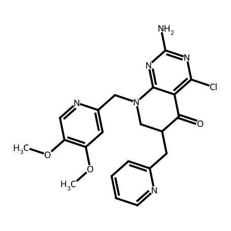 COc1cnc(CN2CC(Cc3ccccn3)C(=O)c3c(Cl)nc(N)nc32)cc1OC